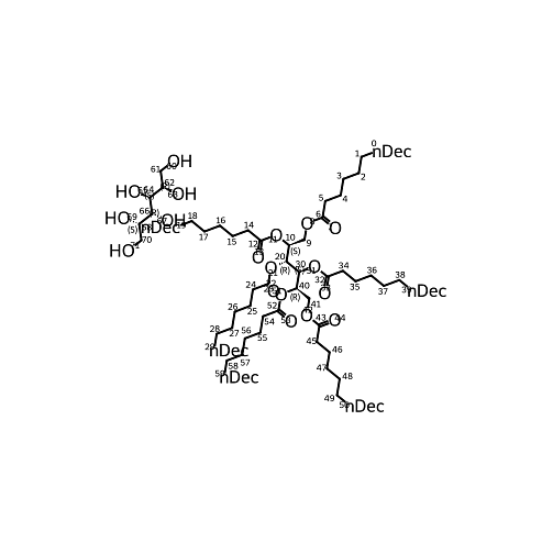 CCCCCCCCCCCCCCCC(=O)OC[C@H](OC(=O)CCCCCCCCCCCCCCC)[C@@H](OC(=O)CCCCCCCCCCCCCCC)[C@@H](OC(=O)CCCCCCCCCCCCCCC)[C@@H](COC(=O)CCCCCCCCCCCCCCC)OC(=O)CCCCCCCCCCCCCCC.OC[C@@H](O)[C@H](O)[C@H](O)[C@@H](O)CO